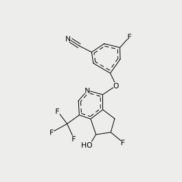 N#Cc1cc(F)cc(Oc2ncc(C(F)(F)F)c3c2CC(F)C3O)c1